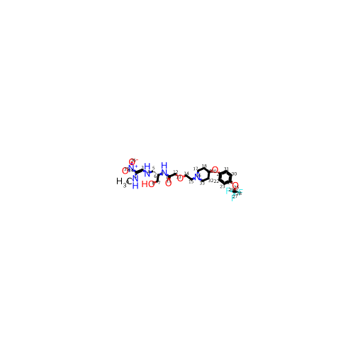 CN/C(=C\NC[C@@H](CO)NC(=O)COCCN1CCC(Oc2ccc(OC(F)(F)F)cc2)CC1)[N+](=O)[O-]